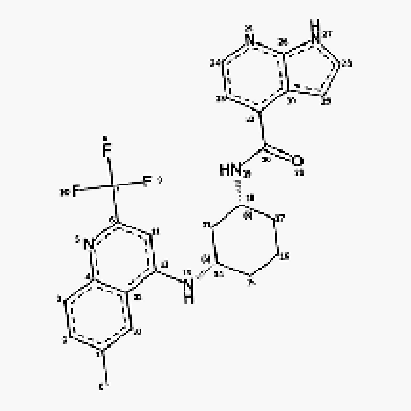 Cc1ccc2nc(C(F)(F)F)cc(N[C@H]3CCC[C@@H](NC(=O)c4ccnc5[nH]ccc45)C3)c2c1